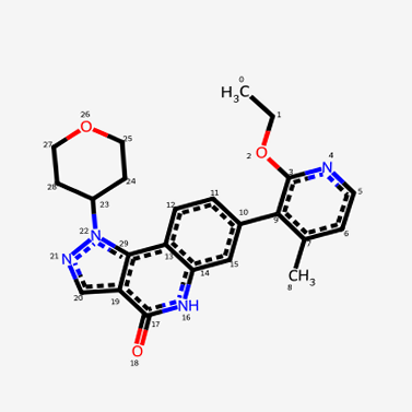 CCOc1nccc(C)c1-c1ccc2c(c1)[nH]c(=O)c1cnn(C3CCOCC3)c12